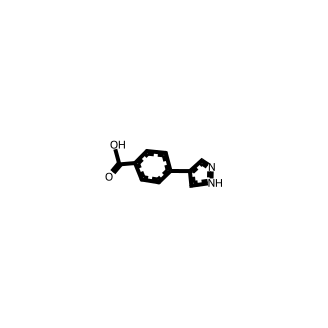 O=C(O)c1ccc(-c2cn[nH]c2)cc1